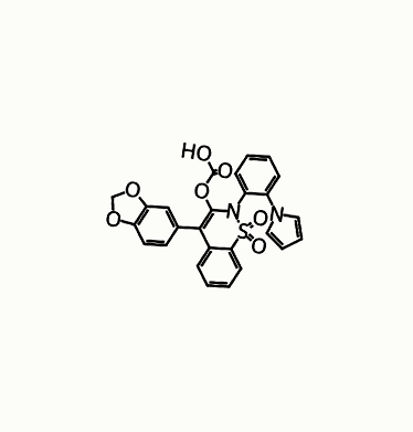 O=C(O)OC1=C(c2ccc3c(c2)OCO3)c2ccccc2S(=O)(=O)N1c1ccccc1-n1cccc1